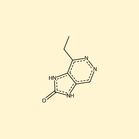 CCc1nncc2[nH]c(=O)[nH]c12